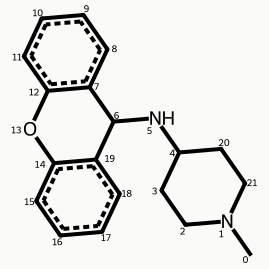 CN1CCC(NC2c3ccccc3Oc3ccccc32)CC1